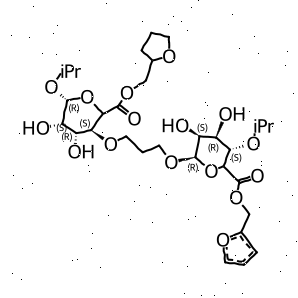 CC(C)O[C@@H]1OC(C(=O)OCC2CCCO2)[C@@H](OCCCO[C@@H]2OC(C(=O)OCc3ccco3)[C@@H](OC(C)C)[C@H](O)[C@@H]2O)[C@H](O)[C@@H]1O